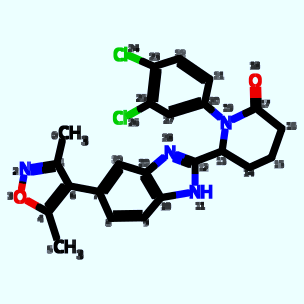 Cc1noc(C)c1-c1ccc2[nH]c(C3CCCC(=O)N3c3ccc(Cl)c(Cl)c3)nc2c1